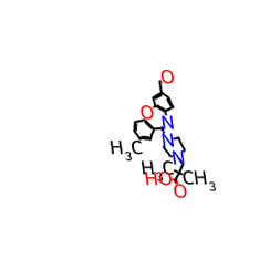 Cc1ccc2c(c1)C(N1CCN(CC(C)(C)C(=O)O)CC1)=Nc1ccc(C=O)cc1O2